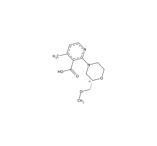 COC[C@@H]1CN(c2nccc(C)c2C(=O)O)CCO1